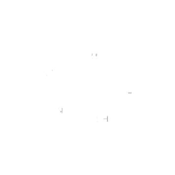 CC(O)C(O)C(N)N